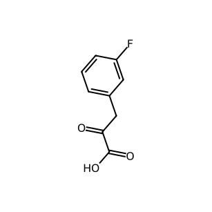 O=C(O)C(=O)Cc1cccc(F)c1